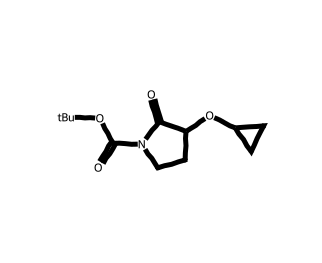 CC(C)(C)OC(=O)N1CCC(OC2CC2)C1=O